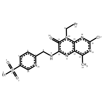 CCS(=O)(=O)c1ccc(CNc2nc3c(C)nc(Cl)nc3n(CC(C)C)c2=O)nc1